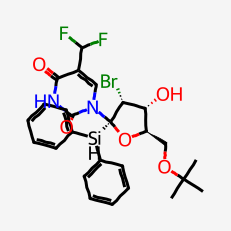 CC(C)(C)OC[C@H]1O[C@](n2cc(C(F)F)c(=O)[nH]c2=O)([SiH](c2ccccc2)c2ccccc2)[C@H](Br)[C@@H]1O